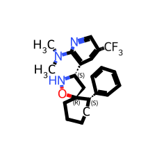 CN(C)c1ncc(C(F)(F)F)cc1[C@@H]1C[C@@]2(CCCC[C@H]2c2ccccc2)ON1